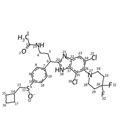 CC(=O)NCCC(c1ccc([S+]([O-])CC2CCC2)cc1)c1nc2cc(Cl)c(N3CCC(F)(F)CC3)c(Cl)c2[nH]1